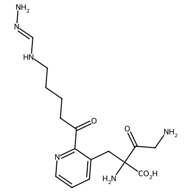 NCC(=O)C(N)(Cc1cccnc1C(=O)CCCCNC=NN)C(=O)O